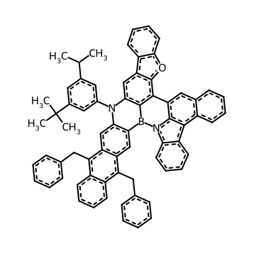 CC(C)c1cc(N2c3cc4c(Cc5ccccc5)c5ccccc5c(Cc5ccccc5)c4cc3B3c4c2cc2c(oc5ccccc52)c4-c2cc4ccccc4c4c5ccccc5n3c24)cc(C(C)(C)C)c1